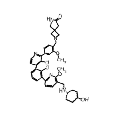 COc1cc(-c2nccc(-c3cccc(-c4ccc(CN[C@H]5CC[C@H](O)CC5)c(OC)n4)c3Cl)c2Cl)ccc1CN1CC2(CNC(=O)C2)C1